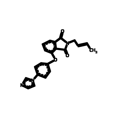 CC=CCN1C(=O)c2cccc(Oc3ccc(-n4ccnc4)cc3)c2C1=O